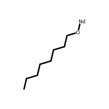 CCCCCCCC[O][Nd]